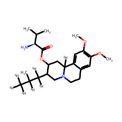 [2H]C12CC(OC(=O)[C@@H](N)C(C)C)C(C([2H])([2H])C([2H])(C)C([2H])([2H])[2H])CN1CCc1cc(OC)c(OC)cc12